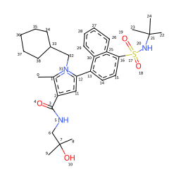 Cc1c(C(=O)NCC(C)(C)O)cc(-c2ccc(S(=O)(=O)NC(C)(C)C)c3ccccc23)n1CC1CCCCC1